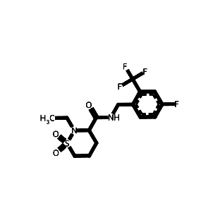 CCN1C(C(=O)NCc2ccc(F)cc2C(F)(F)F)CCCS1(=O)=O